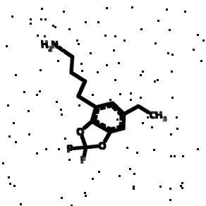 CCc1cc(CCCCN)c2c(c1)OC(F)(F)O2